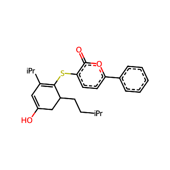 CC(C)CCC1CC(O)=CC(C(C)C)=C1Sc1ccc(-c2ccccc2)oc1=O